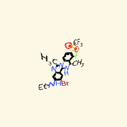 CCNc1cc2nc(C)nc(N[C@H](C)c3cccc(S(=O)(=O)C(F)(F)F)c3F)c2cc1Br